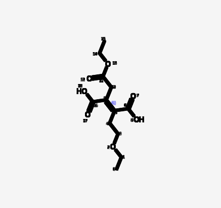 CCOCC/C(C(=O)O)=C(/CC(=O)OCC)C(=O)O